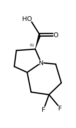 O=C(O)[C@@H]1CCC2CC(F)(F)CCN21